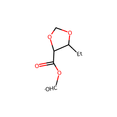 CCC1OCOC1C(=O)O[C]=O